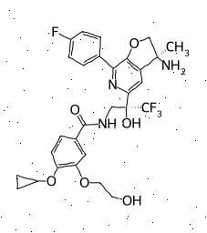 C[C@@]1(N)COc2c1cc([C@@](O)(CNC(=O)c1ccc(OC3CC3)c(OCCO)c1)C(F)(F)F)nc2-c1ccc(F)cc1